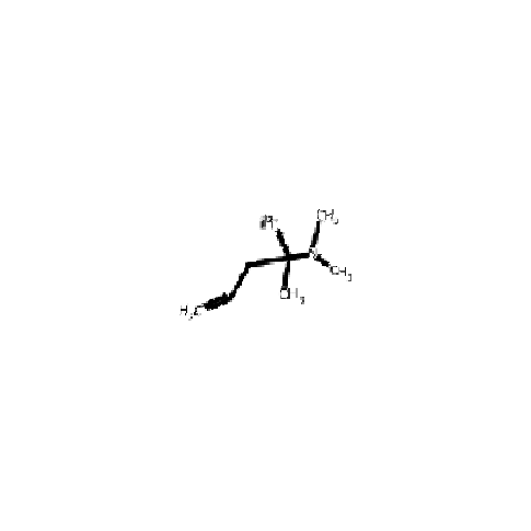 C=CCC(C)(C(C)C)N(C)C